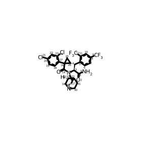 NC(=O)[C@H](Cc1ccc(C(F)(F)F)cc1C(F)(F)F)N(C(=O)C1(c2ccc(Cl)cc2Cl)CC1)[C@@H]1CN2CCC1CC2